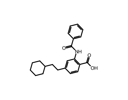 O=C(Nc1cc(CCC2CCCCC2)ccc1C(=O)O)c1ccccc1